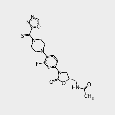 CC(=O)NC[C@H]1CN(c2ccc(N3CCN(C(=S)c4nnco4)CC3)c(F)c2)C(=O)O1